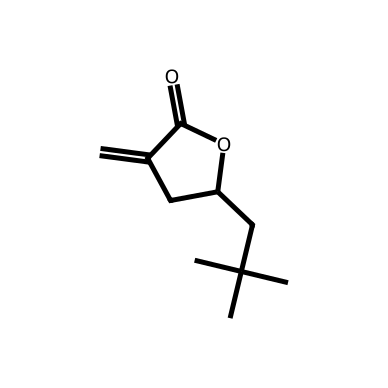 C=C1CC(CC(C)(C)C)OC1=O